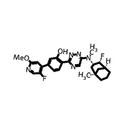 COc1cc(-c2ccc(-c3ncc(N(C)[C@H]4C[C@]5(C)CCC[C@@H](C5)[C@H]4F)nn3)c(O)c2)c(F)cn1